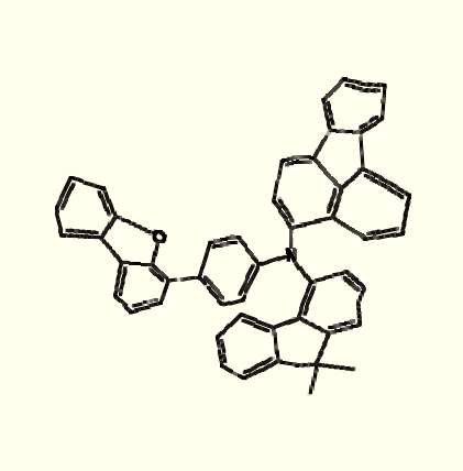 CC1(C)c2ccccc2-c2c(N(c3ccc(-c4cccc5c4oc4ccccc45)cc3)c3ccc4c5c(cccc35)-c3ccccc3-4)cccc21